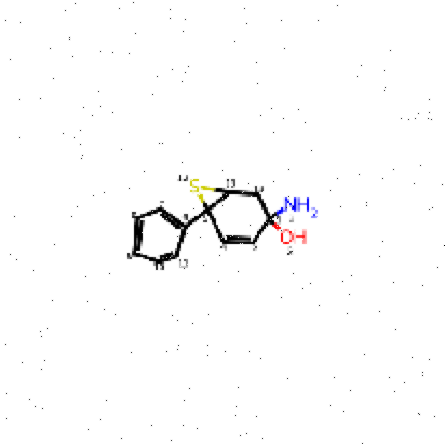 NC1(O)C=CC2(c3ccccc3)SC2C1